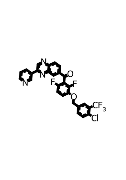 O=C(c1ccc2ncc(-c3cccnc3)nc2c1)c1c(F)ccc(OCc2ccc(Cl)c(C(F)(F)F)c2)c1F